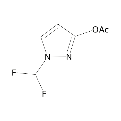 CC(=O)Oc1ccn(C(F)F)n1